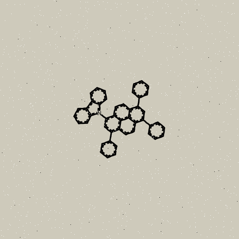 c1ccc(-c2cc(-c3ccccc3)c3ccc4c(-n5c6ccccc6c6ccccc65)cc(-c5ccccc5)c5ccc2c3c54)cc1